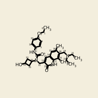 CCOc1ccc(NC(=O)N(Cc2cc3cc(C)c(CN(CC)CC)c(C)c3[nH]c2=O)C2CC(O)C2)cc1